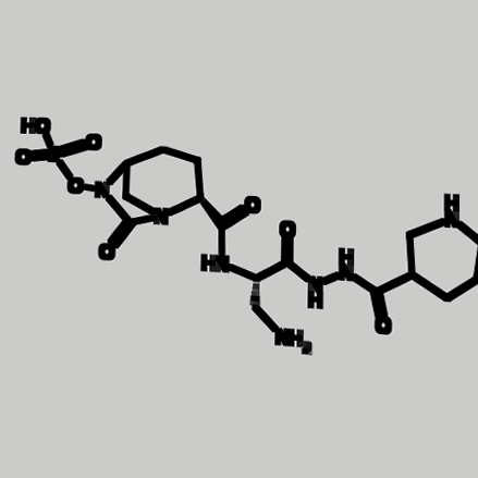 NC[C@H](NC(=O)[C@@H]1CCC2CN1C(=O)N2OS(=O)(=O)O)C(=O)NNC(=O)C1CCCNC1